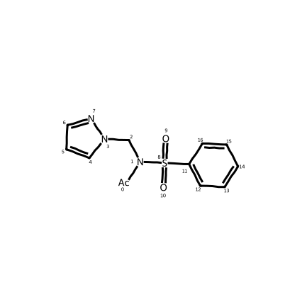 CC(=O)N(Cn1cccn1)S(=O)(=O)c1ccccc1